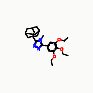 CCOc1cc(-c2nnc(C34CC5CC(CC(C5)C3)C4)n2C)cc(OCC)c1OCC